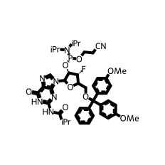 COc1ccc(C(OCC2OC(n3cnc4c(=O)[nH]c(NC(=O)C(C)C)nc43)[C@H](OP(OCCC#N)N(C(C)C)C(C)C)[C@@H]2F)(c2ccccc2)c2ccc(OC)cc2)cc1